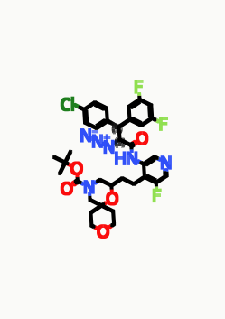 CC(C)(C)OC(=O)N1CC(CCc2c(F)cncc2NC(=O)[C@@H](N=[N+]=[N-])[C@@H](c2ccc(Cl)cc2)c2cc(F)cc(F)c2)OC2(CCOCC2)C1